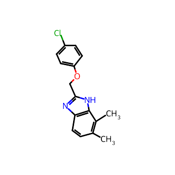 Cc1ccc2nc(COc3ccc(Cl)cc3)[nH]c2c1C